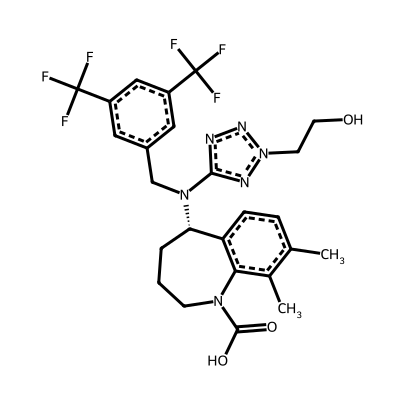 Cc1ccc2c(c1C)N(C(=O)O)CCC[C@@H]2N(Cc1cc(C(F)(F)F)cc(C(F)(F)F)c1)c1nnn(CCO)n1